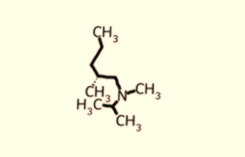 CCC[C@@H](C)CN(C)C(C)C